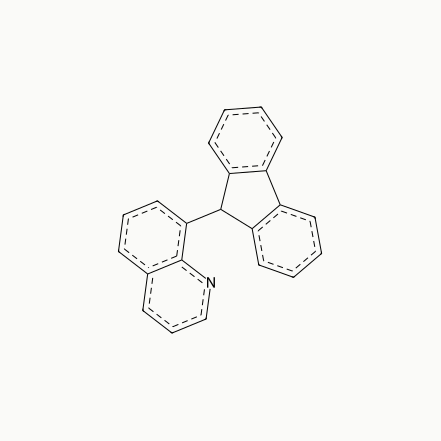 c1ccc2c(c1)-c1ccccc1C2c1cccc2cccnc12